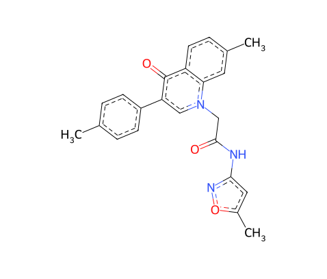 Cc1ccc(-c2cn(CC(=O)Nc3cc(C)on3)c3cc(C)ccc3c2=O)cc1